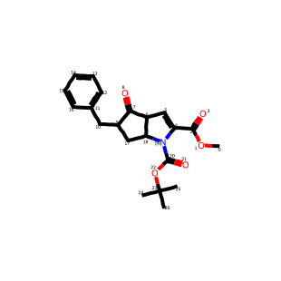 COC(=O)C1=CC2C(=O)C(Cc3ccccc3)CC2N1C(=O)OC(C)(C)C